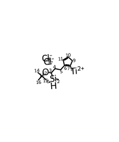 C[SiH](C)C(CCC1=[C]([Ti+2])CC=C1)OC(C)(C)C.[Cl-].[Cl-]